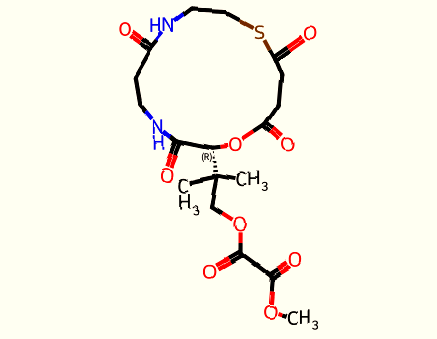 COC(=O)C(=O)OCC(C)(C)[C@H]1OC(=O)CCC(=O)SCCNC(=O)CCNC1=O